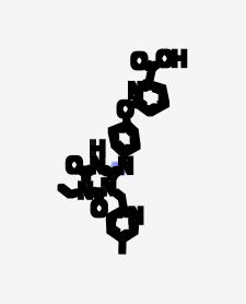 CCn1c(=O)[nH]/c(=N\c2ccc(Oc3cccc(C(=O)O)n3)cc2)n(Cc2ccc(C)cn2)c1=O